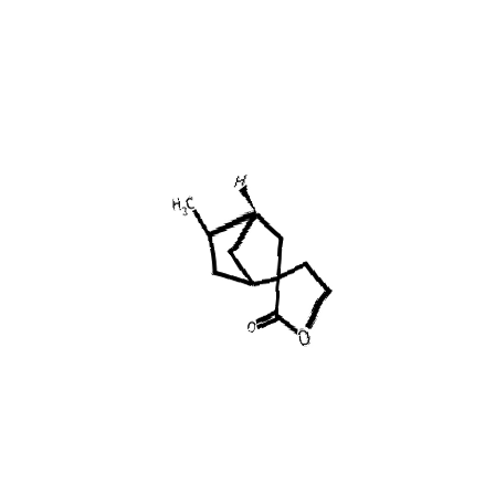 CC1CC2C[C@H]1CC21CCOC1=O